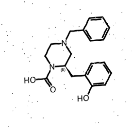 O=C(O)N1CCN(Cc2ccccc2)C[C@H]1Cc1ccccc1O